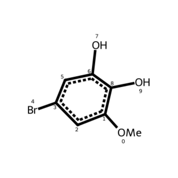 COc1cc(Br)cc(O)c1O